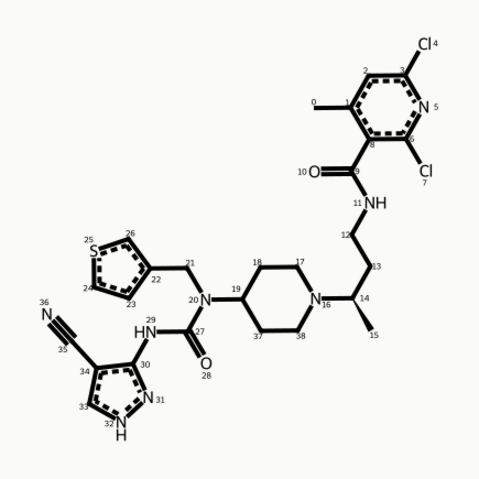 Cc1cc(Cl)nc(Cl)c1C(=O)NCC[C@@H](C)N1CCC(N(Cc2ccsc2)C(=O)Nc2n[nH]cc2C#N)CC1